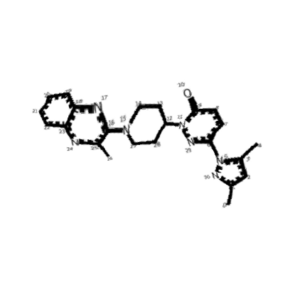 Cc1cc(C)n(-c2ccc(=O)n(C3CCN(c4nc5ccccc5nc4C)CC3)n2)n1